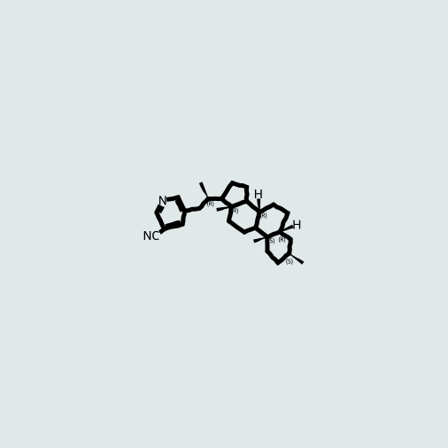 C[C@H]1CC[C@]2(C)C3CC[C@@]4(C)C(CCC4[C@H](C)Cc4cncc(C#N)c4)[C@@H]3CC[C@@H]2C1